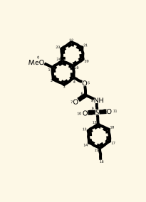 COc1ccc(OC(=O)NS(=O)(=O)c2ccc(C)cc2)c2ccccc12